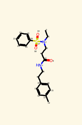 CCN(CCC(=O)N[CH]Cc1ccc(C)cc1)S(=O)(=O)c1ccccc1